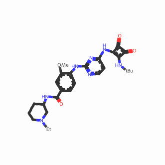 CCN1CCCC(NC(=O)c2ccc(Nc3nccc(Nc4c(NC(C)(C)C)c(=O)c4=O)n3)c(OC)c2)C1